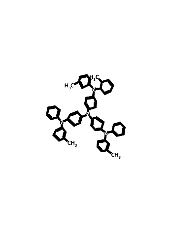 Cc1cccc(N(c2ccccc2)c2ccc(N(c3ccc(N(c4ccccc4)c4cccc(C)c4)cc3)c3ccc(N(c4cccc(C)c4)C4C=CC=CC4C)cc3)cc2)c1